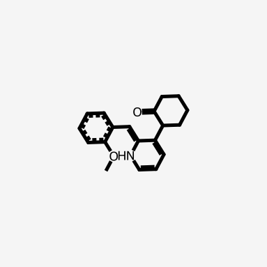 COc1ccccc1C=C1NC=CC=C1C1CCCCC1=O